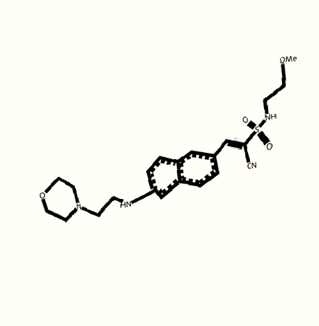 COCCNS(=O)(=O)/C(C#N)=C/c1ccc2cc(NCCN3CCOCC3)ccc2c1